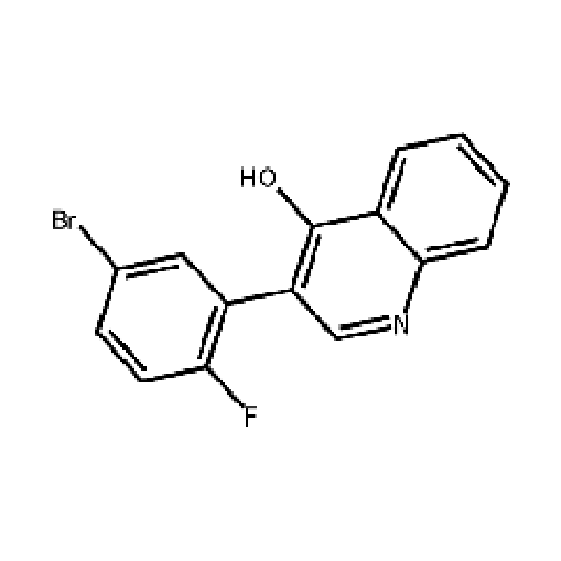 Oc1c(-c2cc(Br)ccc2F)cnc2ccccc12